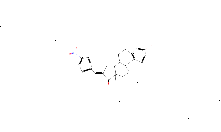 CC12CCC3c4ccc(O)cc4CCC3C1CC(=Cc1ccc([N+](=O)[O-])cc1)C2O